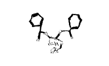 O=CO[C@H](OC(=O)c1ccccc1)[C@@H](OC(=O)c1ccccc1)C(=O)O